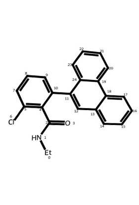 CCNC(=O)c1c(Cl)cccc1-c1cc2ccccc2c2ccccc12